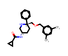 O=C(N[C@H]1CC[C@@](COCc2cc(C(F)(F)F)cc(C(F)(F)F)c2)(c2ccccc2)NC1)C1CC1